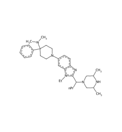 CCCC(c1nc2ccc(N3CCC(c4ccccc4)(N(C)C)CC3)cc2n1CC)N1CC(C)NC(C)C1